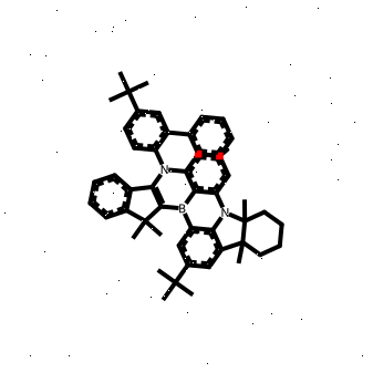 Cc1cc2c3c(c1)N1c4c(cc(C(C)(C)C)cc4C4(C)CCCCC14C)B3C1=C(c3ccccc3C1(C)C)N2c1ccc(C(C)(C)C)cc1-c1ccccc1